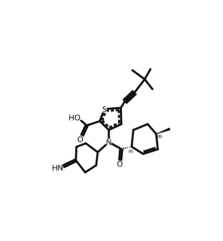 C[C@H]1C=C[C@H](C(=O)N(c2cc(C#CC(C)(C)C)sc2C(=O)O)C2CCC(=N)CC2)CC1